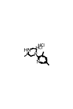 Cc1cnc(N2CCN[C@H](C)C2)c(C)c1.Cl.Cl